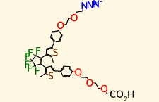 Cc1sc(-c2ccc(OCCOCCN=[N+]=[N-])cc2)cc1C1=C(c2cc(-c3ccc(OCCOCCOCC(=O)O)cc3)sc2C)C(F)(F)C(F)(F)C1(F)F